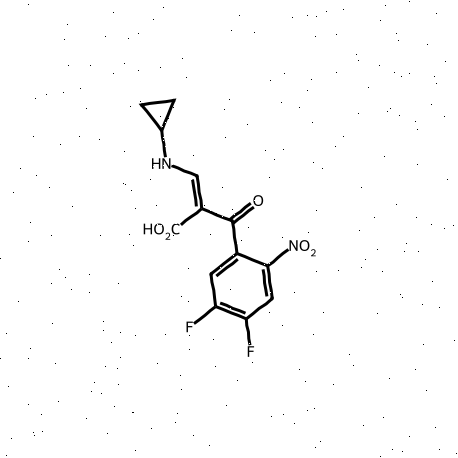 O=C(O)/C(=C\NC1CC1)C(=O)c1cc(F)c(F)cc1[N+](=O)[O-]